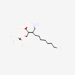 CCCCCCCCC(CN)C(C(=O)O)C(=O)OC(C)(C)C